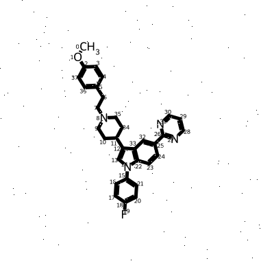 COc1ccc(CCN2CCC(c3cn(-c4ccc(F)cc4)c4ccc(-c5ncccn5)cc34)CC2)cc1